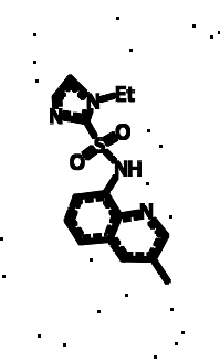 CCn1ccnc1S(=O)(=O)Nc1cccc2cc(C)cnc12